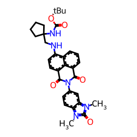 Cn1c(=O)n(C)c2cc(N3C(=O)c4cccc5c(NCC6(NC(=O)OC(C)(C)C)CCCC6)ccc(c45)C3=O)ccc21